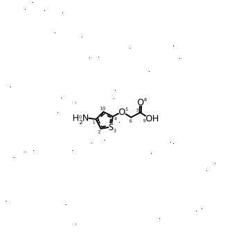 Nc1csc(OCC(=O)O)c1